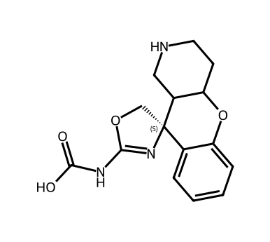 O=C(O)NC1=N[C@]2(CO1)c1ccccc1OC1CCNCC12